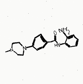 CN1CCN(c2ccc(C(=O)Nc3ccccc3N)cc2)CC1